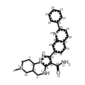 CN1CCC2C(CNc3c(C(N)=O)c(-c4ccc5ccc(-c6ccccc6)nc5c4)nn32)C1